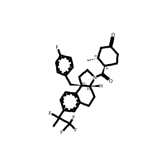 C[C@@H]1CC(=O)CC[C@H]1C(=O)N1CC[C@@]2(Cc3ccc(F)cc3)c3ccc(C(C)(F)C(F)(F)F)cc3CC[C@@H]12